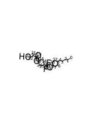 CCCCCc1ccc(OC(F)(F)C2CCC(OC(=O)C(C)CO)CC2)cc1